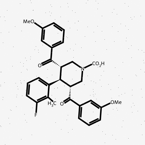 COc1cccc(C(=O)[C@H]2CN(C(=O)O)C[C@@H](C(=O)c3cccc(OC)c3)[C@@H]2c2cccc(F)c2C)c1